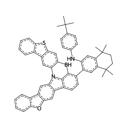 CC(C)(C)c1ccc(Nc2cc3c(cc2-c2ccc4c5cc6oc7ccccc7c6cc5n5c4c2Bc2cc4sc6ccccc6c4cc2-5)C(C)(C)CCC3(C)C)cc1